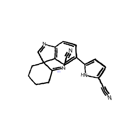 N#C/N=C1/CCCCC12C=Nc1ccc(-c3ccc(C#N)[nH]3)cc12